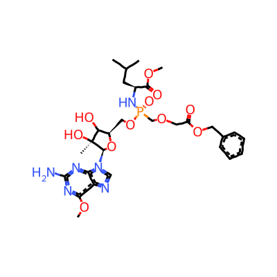 COC(=O)[C@H](CC(C)C)NP(=O)(COCC(=O)OCc1ccccc1)OC[C@H]1O[C@@H](n2cnc3c(OC)nc(N)nc32)[C@@](C)(O)C1O